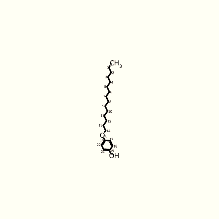 CCCCCCCCCCCCCCCOc1ccc(O)cc1